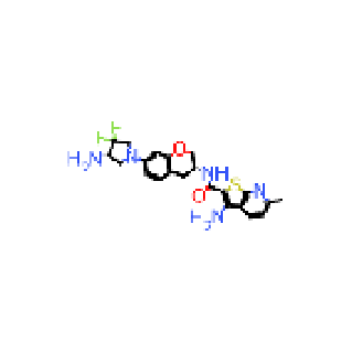 Cc1ccc2c(N)c(C(=O)N[C@H]3COc4cc(N5C[C@H](N)C(F)(F)C5)ccc4C3)sc2n1